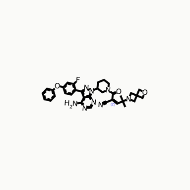 CC(C)(/C=C(/C#N)C(=O)N1CCCC(n2nc(-c3ccc(Oc4ccccc4)cc3F)c3c(N)ncnc32)C1)N1CC2(COC2)C1